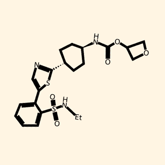 CCNS(=O)(=O)c1ccccc1-c1cnc([C@H]2CC[C@H](NC(=O)OC3COC3)CC2)s1